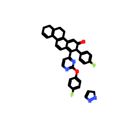 C1=CN=NC1.O=C1C=c2c3c(ccc2=C(c2ccnc(Oc4ccc(F)cc4)n2)C1c1ccc(F)cc1)C1=C(CCC=C1)CC3